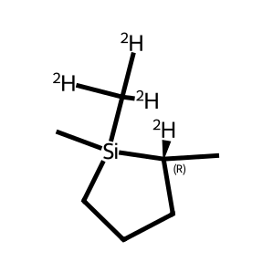 [2H]C([2H])([2H])[Si]1(C)CCC[C@@]1([2H])C